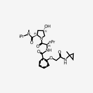 CCC[C@@H](NC(=O)c1ccccc1OCC(=O)NC1(C)CC1)C(=O)N1C[C@@H](O)C[C@@H]1C(=O)N(C)C(C)C